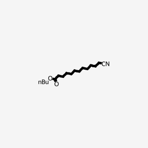 CCCCOC(=O)CCCCCCCCCCCC#N